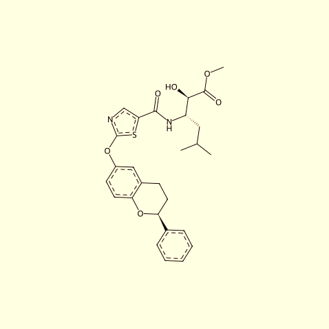 COC(=O)[C@H](O)[C@H](CC(C)C)NC(=O)c1cnc(Oc2ccc3c(c2)CC[C@@H](c2ccccc2)O3)s1